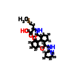 CSCCC(NC(=O)c1cccc(C(=O)Nc2ccccn2)c1-c1ccccc1)C(=O)O